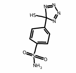 NS(=O)(=O)c1ccc(C2(S)N=NN=N2)cc1